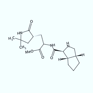 COC(=O)C(C[C@@H]1CC(C)(C)NC1=O)NC(=O)[C@H]1NC[C@@H]2CCC[C@@H]21